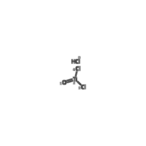 Cl.[O]=[Ti]([Cl])[Cl]